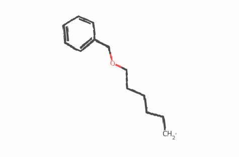 [CH2]CCCCCOCc1ccccc1